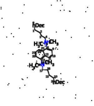 CCCCCCCCCCCCCC[N+](C)(C)c1cccc2c([N+](C)(C)CCCCCCCCCCCCCC)cccc12